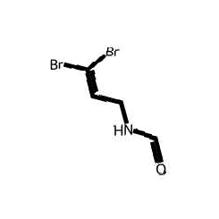 O=CNCC=C(Br)Br